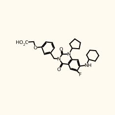 O=C(O)COc1cccc(Cn2c(=O)c3cc(F)c(NC4CCCCC4)cc3n(C3CCCC3)c2=O)c1